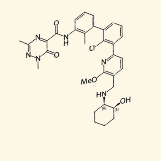 COc1nc(-c2cccc(-c3cccc(NC(=O)c4nc(C)nn(C)c4=O)c3C)c2Cl)ccc1CN[C@@H]1CCCC[C@@H]1O